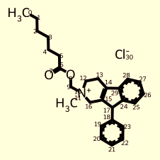 CCCCCCC(=O)OC[N+]1(C)CCC2=C(C1)C(c1ccccc1)c1ccccc12.[Cl-]